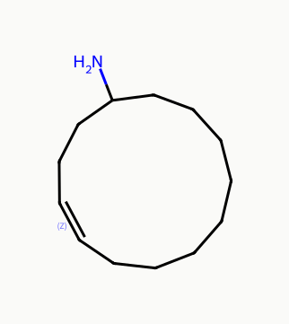 NC1CC/C=C\CCCCCCCC1